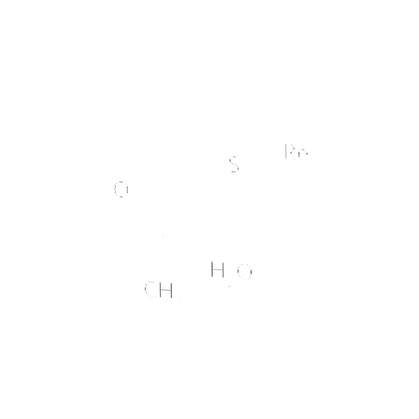 CC(=O)C[S][Re].O